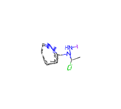 CC(Cl)N(NI)c1ccccn1